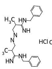 CC(CN=NCC(C)C(=N)NCc1ccccc1)C(=N)NCc1ccccc1.Cl.Cl